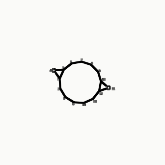 C1CCC2OC2CCCCC2OC2CC1